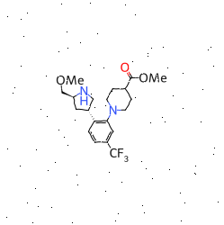 COC[C@@H]1C[C@@H](c2ccc(C(F)(F)F)cc2N2CCC(C(=O)OC)CC2)CN1